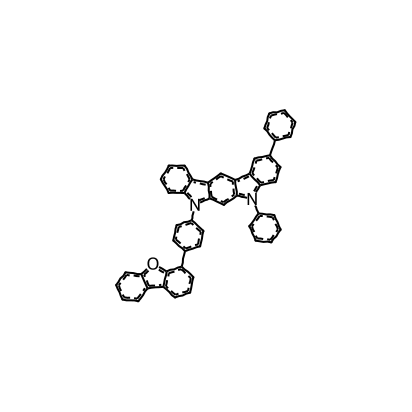 c1ccc(-c2ccc3c(c2)c2cc4c5ccccc5n(-c5ccc(-c6cccc7c6oc6ccccc67)cc5)c4cc2n3-c2ccccc2)cc1